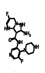 NC1NN2CC(F)=CNC2C1C(=O)Nc1cncc(F)c1N1CCNCC1